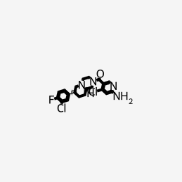 Nc1cc(Cl)c(C(=O)N2CCN3C[C@@H](c4ccc(F)c(Cl)c4)CC[C@@H]3C2)cn1